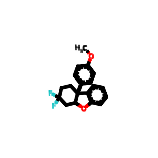 COc1ccc(C23CCC(F)(F)CC2Oc2ccccc23)cc1